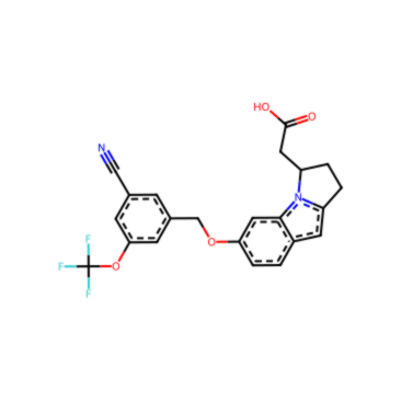 N#Cc1cc(COc2ccc3cc4n(c3c2)C(CC(=O)O)CC4)cc(OC(F)(F)F)c1